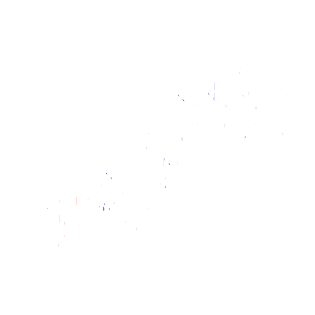 Nc1c(-c2cc(Cc3ccc(Nc4ccc(F)c(F)c4F)nc3)no2)ccc[n+]1COP(=O)(O)O